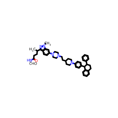 CC(CCC(=O)NC=O)c1nn(C)c2cc(N3CCN(CCC4CCN(c5ccc(C6c7ccccc7CCC6c6ccccc6)cc5)CC4)CC3)ccc12